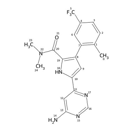 Cc1ccc(C(F)(F)F)cc1-c1cc(-c2cc(N)ncn2)[nH]c1C(=O)N(C)C